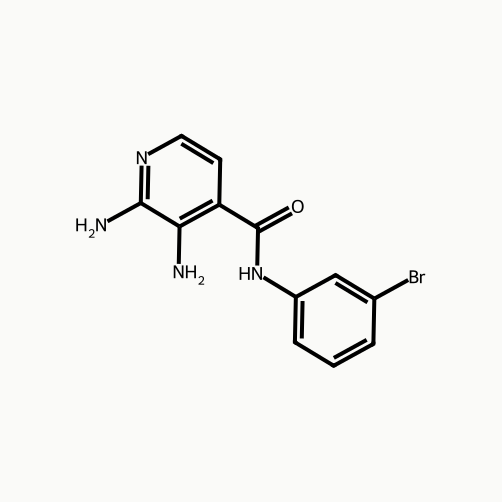 Nc1nccc(C(=O)Nc2cccc(Br)c2)c1N